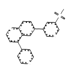 CS(=O)(=O)c1cncc(-c2ccc3nccc(-c4ccncc4)c3c2)c1